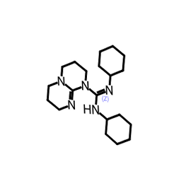 C1CCC(/N=C(/NC2CCCCC2)N2CCCN3CCCN=C32)CC1